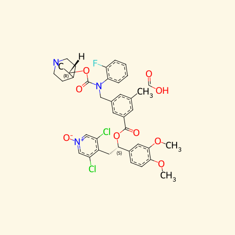 COc1ccc([C@H](Cc2c(Cl)c[n+]([O-])cc2Cl)OC(=O)c2cc(C)cc(CN(C(=O)O[C@H]3CN4CCC3CC4)c3ccccc3F)c2)cc1OC.O=CO